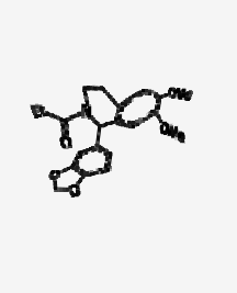 CCC(=O)N1CCc2cc(OC)c(OC)cc2C1c1ccc2c(c1)OCO2